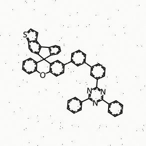 c1ccc(-c2nc(-c3ccccc3)nc(-c3cccc(-c4cccc(-c5ccc6c(c5)C5(c7ccccc7O6)c6ccccc6-c6c5ccc5sccc65)c4)c3)n2)cc1